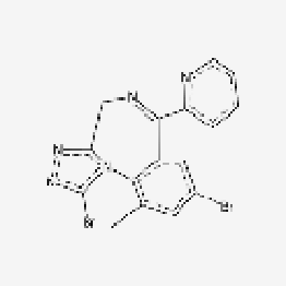 Cc1cc(Br)cc2c1-n1c(Br)nnc1CN=C2c1ccccn1